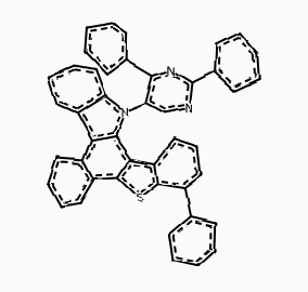 c1ccc(-c2ncc(-n3c4ccccc4c4c5ccccc5c5sc6c(-c7ccccc7)cccc6c5c43)c(-c3ccccc3)n2)cc1